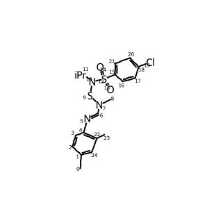 Cc1ccc(N=CN(C)SN(C(C)C)S(=O)(=O)c2ccc(Cl)cc2)c(C)c1